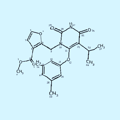 COC(=O)c1ccoc1Cn1c(Oc2cc(C)cc(C)c2)c(C(C)C)c(=O)[nH]c1=O